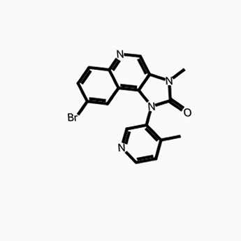 Cc1ccncc1-n1c(=O)n(C)c2cnc3ccc(Br)cc3c21